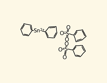 O=S(=O)([O-])c1ccccc1.O=S(=O)([O-])c1ccccc1.c1cc[c]([Sn+2][c]2ccccc2)cc1